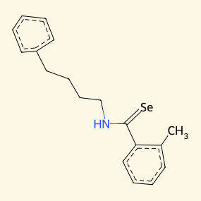 Cc1ccccc1C(=[Se])NCCCCc1ccccc1